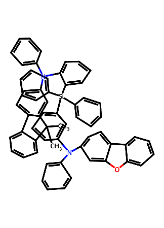 CC1(C)c2ccccc2-c2ccc(N(c3ccccc3)c3ccccc3[Si](c3ccccc3)(c3ccccc3)c3cccc(N(c4ccccc4)c4ccc5c(c4)oc4ccccc45)c3)cc21